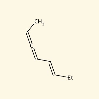 CC=C=C/C=C/CC